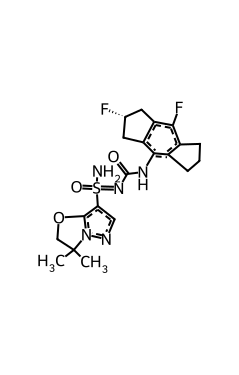 CC1(C)COc2c(S(N)(=O)=NC(=O)Nc3c4c(c(F)c5c3C[C@H](F)C5)CCC4)cnn21